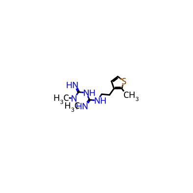 Cc1sccc1CCNC(=N)NC(=N)N(C)C